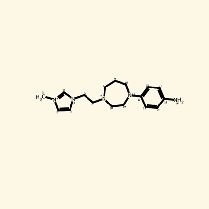 C[n+]1ccn(CCN2CCCN(c3ccc(N)cc3)CC2)c1